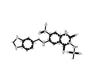 CS(=O)(=O)Nn1c(=O)[nH]c2cc([N+](=O)[O-])c(NCc3ccc4c(c3)OCO4)cc2c1=O